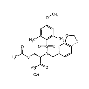 COc1cc(C)c(S(=O)(=O)N(Cc2ccc3c(c2)OCO3)[C@H](COC(C)=O)C(=O)NO)c(C)c1